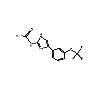 CC(=O)Nc1nc(-c2cccc(OC(F)(F)F)c2)c[nH]1